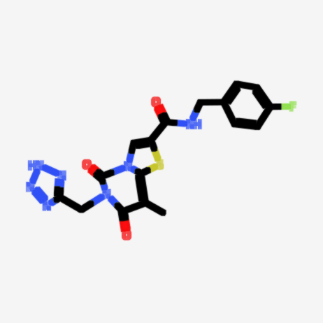 Cc1c(=O)n(Cc2nn[nH]n2)c(=O)n2cc(C(=O)NCc3ccc(F)cc3)sc12